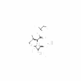 CC1=C(C(=O)OC(Cl)(Cl)CCl)N2C(=O)C(N)[C@H]2SC1.Cl